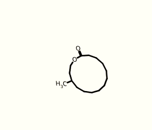 CC1CCCCCCCCCCC(=O)OCC1